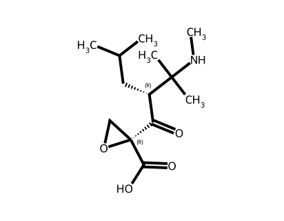 CNC(C)(C)[C@@H](CC(C)C)C(=O)[C@@]1(C(=O)O)CO1